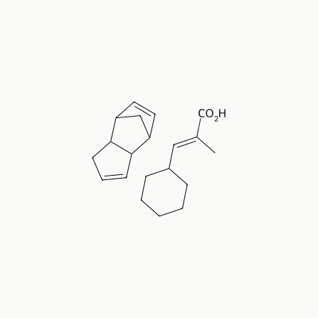 C1=CC2C3C=CC(C3)C2C1.CC(=CC1CCCCC1)C(=O)O